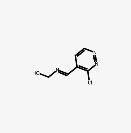 OC/N=C/c1ccnnc1Cl